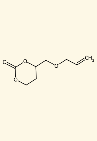 C=CCOCC1CCOC(=O)O1